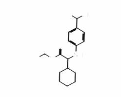 CCOC(=O)C(Nc1ccc(C(C)C)cc1)C1CCCCC1